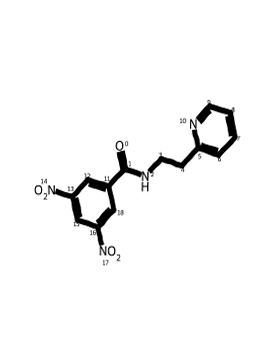 O=C(NCCc1ccccn1)c1cc([N+](=O)[O-])cc([N+](=O)[O-])c1